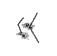 CCCCCCCC/C=C\CCCCCCCC(=O)O[C@H](CO)[C@H]1OC[C@H](O)[C@H]1O.CCCCCCCCCCCCCCCCCC(=O)C(CCCCCCCCCCCCCCCC)(OC(C(=O)O)C(O)C(=O)O)C(=O)O.[CaH2]